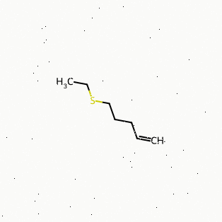 [CH]=CCCCSCC